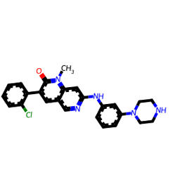 Cn1c(=O)c(-c2ccccc2Cl)cc2cnc(Nc3cccc(N4CCNCC4)c3)cc21